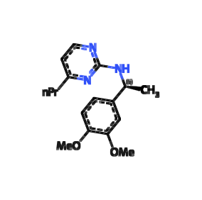 C[CH]Cc1ccnc(N[C@@H](C)c2ccc(OC)c(OC)c2)n1